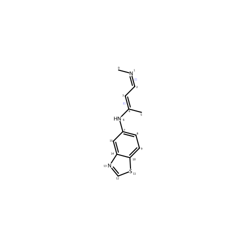 C/N=C\C=C(/C)Nc1ccc2scnc2c1